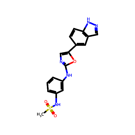 CS(=O)(=O)Nc1cccc(Nc2ncc(-c3ccc4[nH]ncc4c3)o2)c1